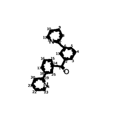 O=C(c1cccc(-c2ccccn2)c1)c1cccc(-c2ccccn2)c1